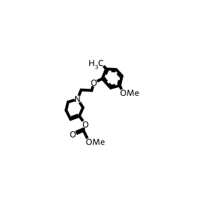 COC(=O)OC1=CCCN(CCOc2cc(OC)ccc2C)C1